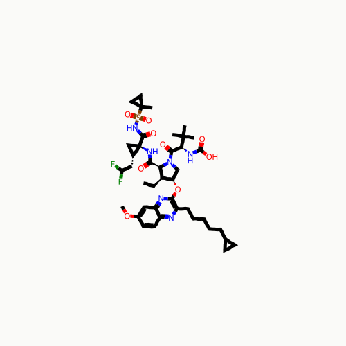 CC[C@@H]1[C@@H](Oc2nc3cc(OC)ccc3nc2CCCCCC2CC2)CN(C(=O)[C@@H](NC(=O)O)C(C)(C)C)[C@@H]1C(=O)N[C@]1(C(=O)NS(=O)(=O)C2(C)CC2)C[C@H]1CC(F)F